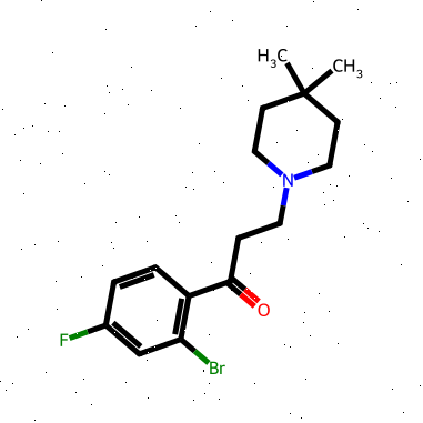 CC1(C)CCN(CCC(=O)c2ccc(F)cc2Br)CC1